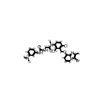 Cc1nc2c(OCc3c(Cl)ccc(N(C)C(=O)CNC(=O)Nc4cccc(N(C)C)c4)c3Cl)cccn2c1Br